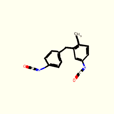 Cc1ccc(N=C=O)cc1Cc1ccc(N=C=O)cc1